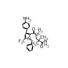 CN(CC(C)(C)C(N)=O)C(=O)c1c(-c2ccc(N)cc2)cc(C(F)(F)F)n1Cc1ccccc1